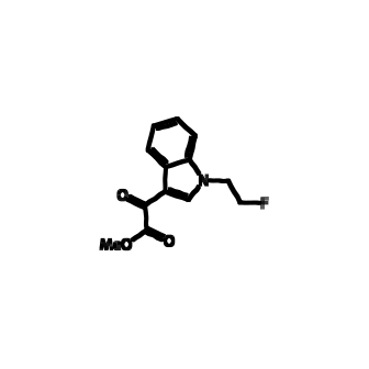 COC(=O)C(=O)c1cn(CCF)c2ccccc12